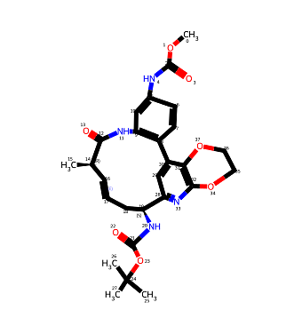 COC(=O)Nc1ccc2c(c1)NC(=O)[C@H](C)/C=C/C[C@H](NC(=O)OC(C)(C)C)c1cc-2c2c(n1)OCCO2